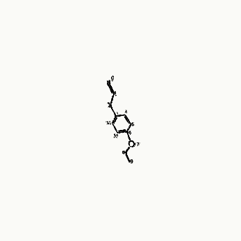 C=CCc1ccc(OCC)cc1